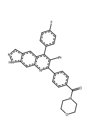 CC(C)c1c(-c2ccc(C(=O)N3CCOCC3)cc2)nc2cc3[nH]ncc3cc2c1-c1ccc(F)cc1